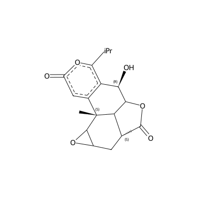 CC(C)c1oc(=O)cc2c1[C@@H](O)C1OC(=O)[C@@]3(C)CC4OC4[C@@]2(C)C13